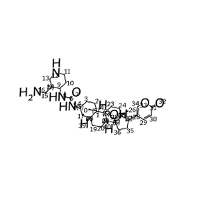 C[C@]12CC[C@H](NC(=O)NC3CCNC[C@@H]3CN)C[C@H]1CC[C@@H]1[C@@H]2CC[C@]2(C)[C@@H](c3ccc(=O)oc3)CC[C@]12O